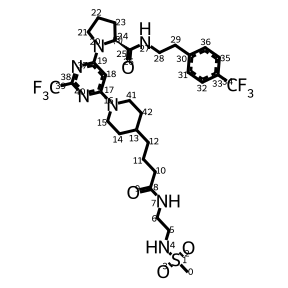 CS(=O)(=O)NCCNC(=O)CCCC1CCN(c2cc(N3CCC[C@H]3C(=O)NCCc3ccc(C(F)(F)F)cc3)nc(C(F)(F)F)n2)CC1